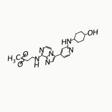 CS(=O)(=O)CCNc1nccn2c(-c3ccnc(NC4CCC(O)CC4)c3)cnc12